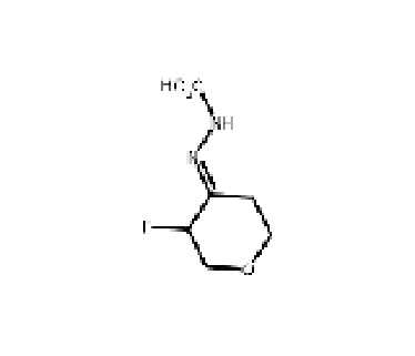 O=C(O)N/N=C1\CCOCC1F